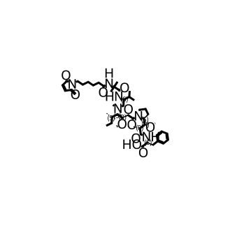 CC[C@H](C)[C@@H]([C@@H](CC(=O)N1CCC[C@H]1[C@H](OC)[C@@H](C)C(=O)N[C@@H](Cc1ccccc1)C(=O)O)OC)N(C)C(=O)[C@@H](NC(=O)C(C)(C)NC(=O)CCCCCN1C(=O)C=CC1=O)C(C)C